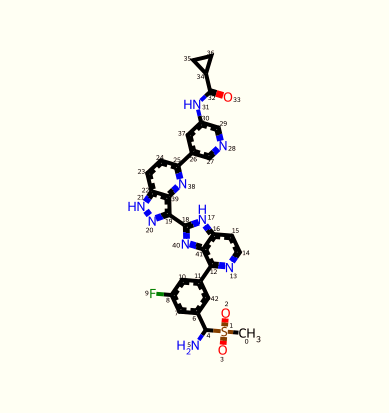 CS(=O)(=O)C(N)c1cc(F)cc(-c2nccc3[nH]c(-c4n[nH]c5ccc(-c6cncc(NC(=O)C7CC7)c6)nc45)nc23)c1